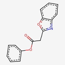 O=C(Cc1nc2ccccc2o1)Oc1ccccc1